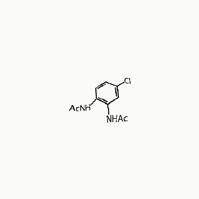 CC(=O)Nc1ccc(Cl)cc1NC(C)=O